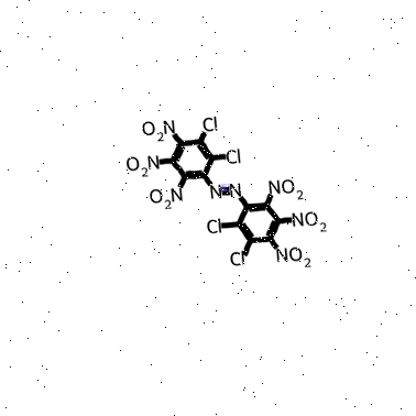 O=[N+]([O-])c1c(Cl)c(Cl)c(/N=N/c2c(Cl)c(Cl)c([N+](=O)[O-])c([N+](=O)[O-])c2[N+](=O)[O-])c([N+](=O)[O-])c1[N+](=O)[O-]